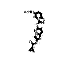 CC(=O)Nc1ccc2nnc(Sc3ccc4nc(NC(=O)C5CC5)cn4n3)n2c1